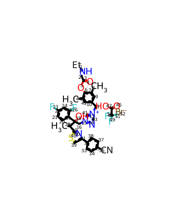 CCNCC(=O)Oc1c(C)cc(C[n+]2cnn(CC(O)(c3ccc(F)cc3F)C(C)c3nc(-c4ccc(C#N)cc4)cs3)c2)cc1C.O=C(O)C(F)(F)F.[Br-]